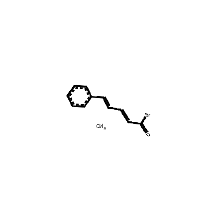 C.O=C(Br)C=CC=Cc1ccccc1